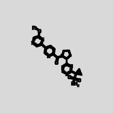 CCOc1cncc(-c2ccc(C(=O)N3CCC[C@H]3c3ccnc(C4(S(N)(=O)=O)CC4)n3)nc2)n1